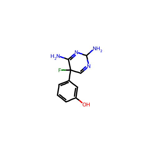 NC1=NC(N)N=CC1(F)c1cccc(O)c1